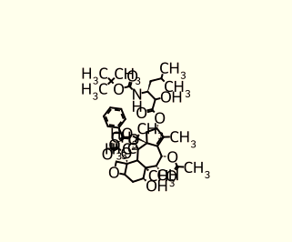 CC(=O)O[C@H]1C2=C(C)[C@@H](OC(=O)C(O)[C@H](CC(C)C)NC(=O)OC(C)(C)C)C[C@@]2(C(C)(C)O)[C@@](C)(OC(=O)c2ccccc2)C2[C@]3(OC(C)=O)COC3C[C@H](O)[C@@]2(C)[C@H]1O